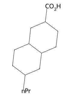 CCCC1CCC2CC(C(=O)O)CCC2C1